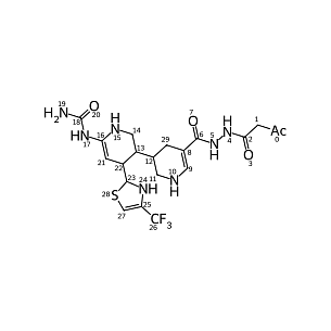 CC(=O)CC(=O)NNC(=O)C1=CNCC(C2CNC(NC(N)=O)=CC2C2NC(C(F)(F)F)=CS2)C1